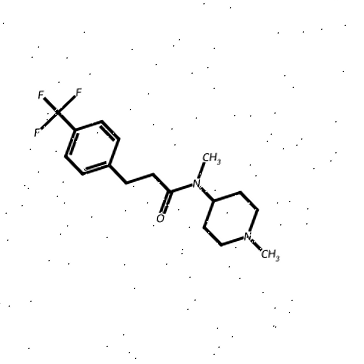 CN1CCC(N(C)C(=O)CCc2ccc(C(F)(F)F)cc2)CC1